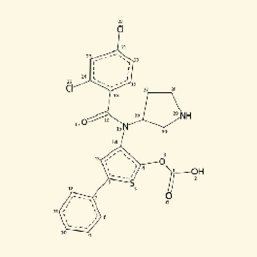 O=C(O)Oc1sc(-c2ccccc2)cc1N(C(=O)c1ccc(Cl)cc1Cl)C1CCNC1